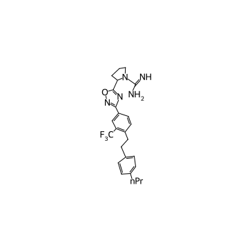 CCCc1ccc(CCc2ccc(-c3noc(C4CCCN4C(=N)N)n3)cc2C(F)(F)F)cc1